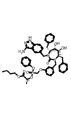 CCCCOC(=O)[C@H](C)OP(=O)(COc1cccc(CN2C(=O)N(Cc3ccc4[nH]nc(N)c4c3)[C@H](Cc3ccccc3)[C@H](O)[C@@H](O)[C@H]2Cc2ccccc2)c1)Oc1ccccc1